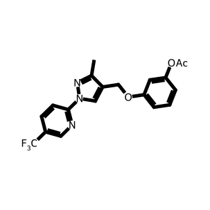 CC(=O)Oc1cccc(OCc2cn(-c3ccc(C(F)(F)F)cn3)nc2C)c1